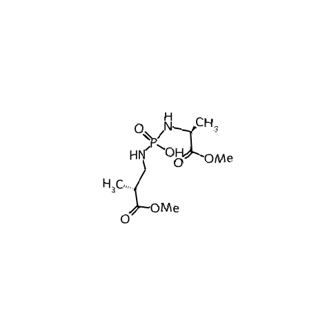 COC(=O)[C@H](C)CNP(=O)(O)N[C@@H](C)C(=O)OC